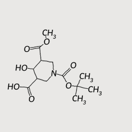 COC(=O)C1CN(C(=O)OC(C)(C)C)CC(C(=O)O)C1O